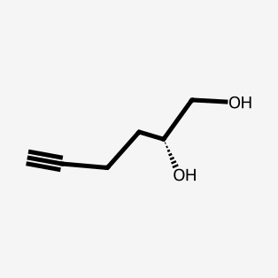 C#CCC[C@@H](O)CO